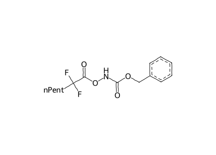 CCCCCC(F)(F)C(=O)ONC(=O)OCc1ccccc1